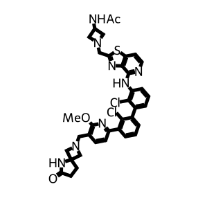 COc1nc(-c2cccc(-c3cccc(Nc4nccc5sc(CN6CC(NC(C)=O)C6)nc45)c3Cl)c2Cl)ccc1CN1CC2(CCC(=O)N2)C1